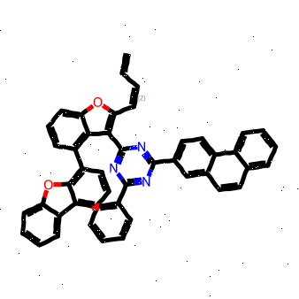 C=C/C=C\c1oc2cccc(-c3cccc4c3oc3ccccc34)c2c1-c1nc(-c2ccccc2)nc(-c2ccc3c(ccc4ccccc43)c2)n1